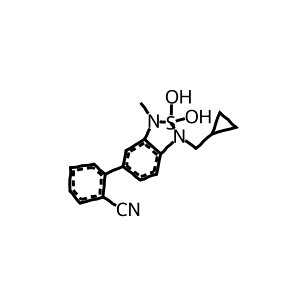 CN1c2cc(-c3ccccc3C#N)ccc2N(CC2CC2)S1(O)O